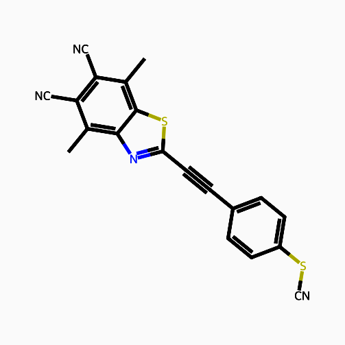 Cc1c(C#N)c(C#N)c(C)c2sc(C#Cc3ccc(SC#N)cc3)nc12